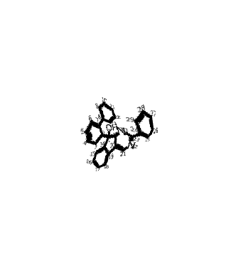 OC1(c2ccccc2-c2ccccc2)c2ccccc2-c2cnc(-c3ccccc3)nc21